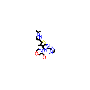 COCC1COCCN1c1nc(-c2nccn2C)nc2sc(-c3ccn(C(C)C)n3)c(C)c12